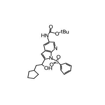 CC(C)(C)OC(=O)Nc1cnc2c(c1)cc(C(O)CC1CCCC1)n2S(=O)(=O)c1ccccc1